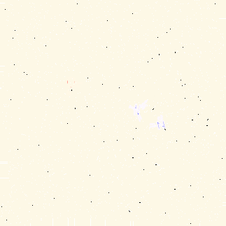 Cc1ccc2oc3ccc(-n4c(C)nc5c4=CCCC=5)cc3c2c1